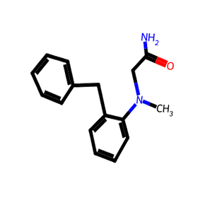 CN(CC(N)=O)c1ccccc1Cc1ccccc1